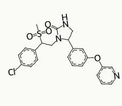 CS(=O)(=O)C(CN1C(=O)NCC1c1cccc(Oc2cccnc2)c1)c1ccc(Cl)cc1